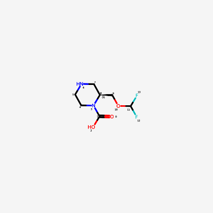 O=C(O)N1CCNC[C@H]1COC(F)F